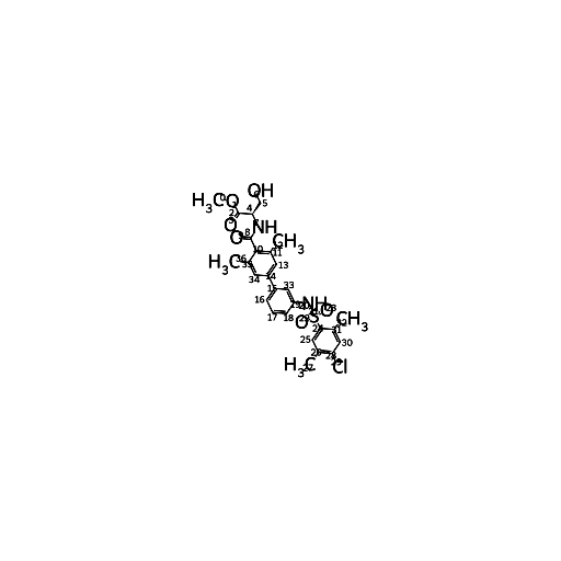 COC(=O)[C@@H](CO)NC(=O)c1c(C)cc(-c2cccc(NS(=O)(=O)c3cc(C)c(Cl)cc3C)c2)cc1C